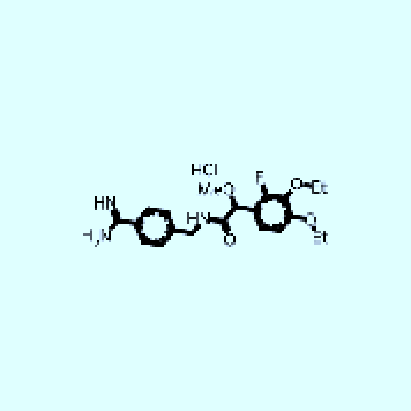 CCOc1ccc(C(OC)C(=O)NCc2ccc(C(=N)N)cc2)c(F)c1OCC.Cl